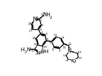 Nc1cc(-c2cc(-c3ccc(CN4CCOCC4)cc3)c3[nH]nc(N)c3c2)ccn1